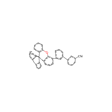 N#Cc1cccc(-c2cccc(-c3cccc4c3Oc3ccccc3C43c4ccccc4-c4ccccc43)c2)c1